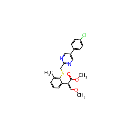 COC=C(C(=O)OC)c1cccc(C)c1SCc1ncc(-c2ccc(Cl)cc2)cn1